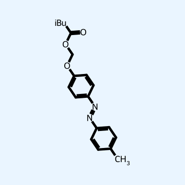 CCC(C)C(=O)OCOc1ccc(/N=N/c2ccc(C)cc2)cc1